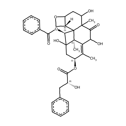 CC1=C2C(O)C(=O)C3(C)C(O)CC4OC[C@H]4C34[C@H](OC(=O)c3ccccc3)C(O)(C[C@@H]1OC(=O)[C@H](O)Cc1ccccc1)[C@]24C